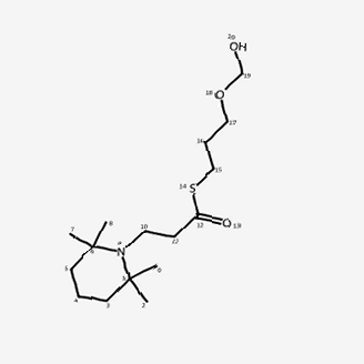 CC1(C)CCCC(C)(C)N1CCC(=O)SCCCOCO